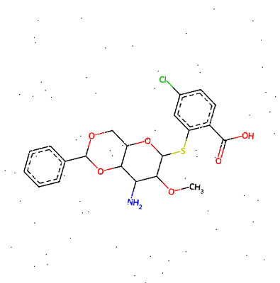 COC1C(Sc2cc(Cl)ccc2C(=O)O)OC2COC(c3ccccc3)OC2C1N